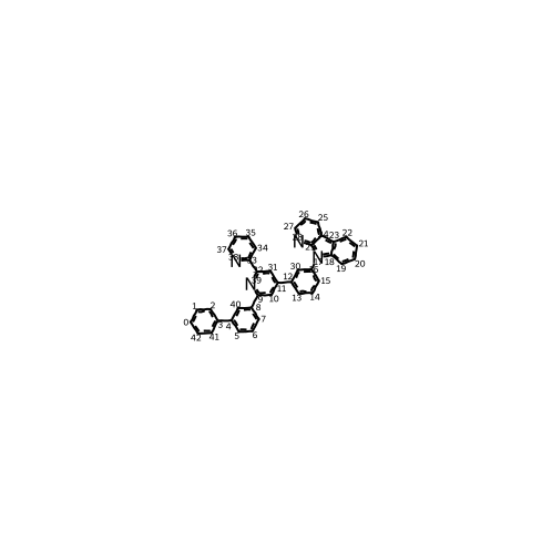 c1ccc(-c2cccc(-c3cc(-c4cccc(-n5c6ccccc6c6cccnc65)c4)cc(-c4ccccn4)n3)c2)cc1